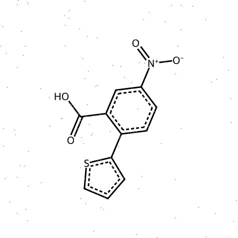 O=C(O)c1cc([N+](=O)[O-])ccc1-c1cccs1